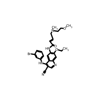 CCOc1cc2ncc(C#N)c(Nc3cccc(Br)c3)c2cc1NC(=O)C=CCN(C)CCOC